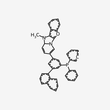 CN1c2c(oc3ccccc23)N2C=C(c3cc(-c4cccc5ccccc45)cc(P(c4ccccc4)c4ccccc4)c3)C=CC12